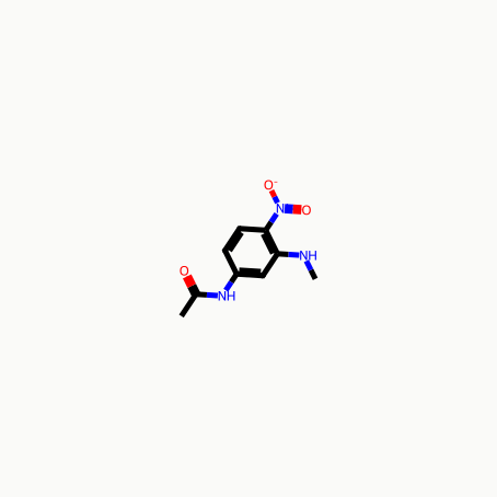 CNc1cc(NC(C)=O)ccc1[N+](=O)[O-]